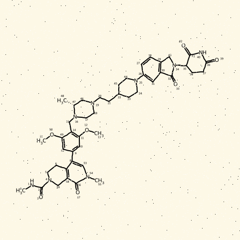 CNC(=O)N1CCc2c(-c3cc(OC)c(CN4CCN(CCC5CCN(c6ccc7c(c6)C(=O)N(C6CCC(=O)NC6=O)C7)CC5)C[C@H]4C)c(OC)c3)cn(C)c(=O)c2C1